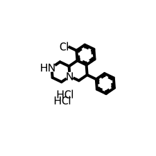 Cl.Cl.Clc1cccc2c1C1CNCCN1CC2c1ccccc1